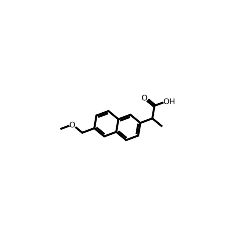 COCc1ccc2cc(C(C)C(=O)O)ccc2c1